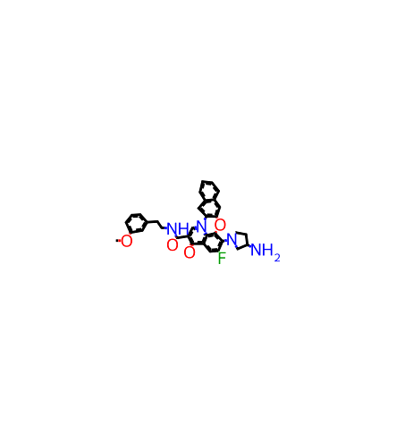 COc1cccc(CCNC(=O)c2cn3c4c(c(N5CCC(N)C5)c(F)cc4c2=O)Oc2cc4ccccc4cc2-3)c1